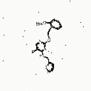 COc1ccccc1COc1ncc(F)c(NCc2cccs2)n1